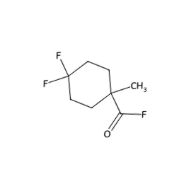 CC1(C(=O)F)CCC(F)(F)CC1